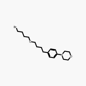 BrCCCCOCCCCc1ccc(N2CCOCC2)cc1